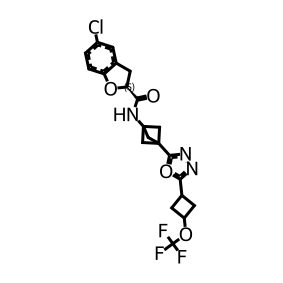 O=C(NC12CC(c3nnc(C4CC(OC(F)(F)F)C4)o3)(C1)C2)[C@@H]1Cc2cc(Cl)ccc2O1